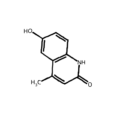 Cc1cc(=O)[nH]c2ccc(O)cc12